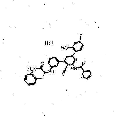 Cl.N#Cc1c(-c2cccc(N[C@H](Cc3ccccc3)C(N)=O)c2)cc(-c2ccc(F)cc2O)nc1NC(=O)c1ccco1